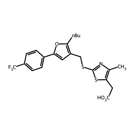 CCCCc1oc(-c2ccc(C(F)(F)F)cc2)cc1CSc1nc(C)c(CC(=O)O)s1